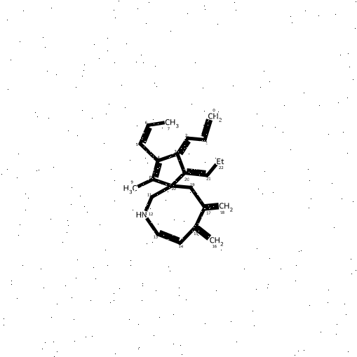 C=C/C=C1/C(/C=C\C)=C(C)C2(CN/C=C\C(=C)C(=C)C2)/C1=C/CC